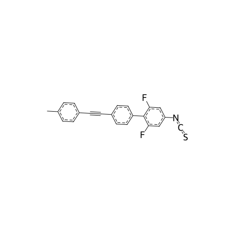 Cc1ccc(C#Cc2ccc(-c3c(F)cc(N=C=S)cc3F)cc2)cc1